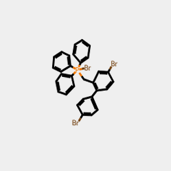 Brc1ccc(-c2ccc(Br)cc2CP(Br)(c2ccccc2)(c2ccccc2)c2ccccc2)cc1